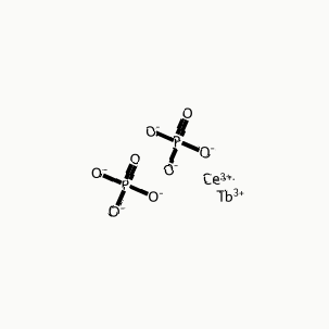 O=P([O-])([O-])[O-].O=P([O-])([O-])[O-].[Ce+3].[Tb+3]